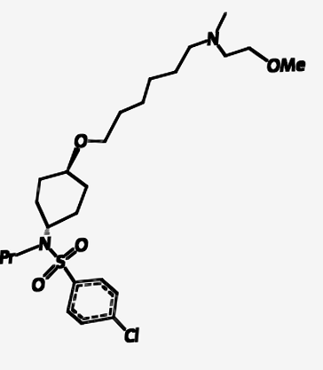 CCCN([C@H]1CC[C@H](OCCCCCCN(C)CCOC)CC1)S(=O)(=O)c1ccc(Cl)cc1